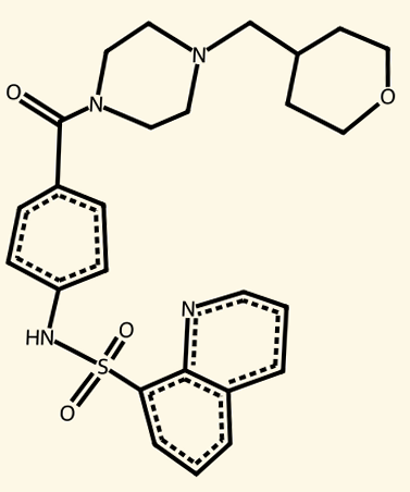 O=C(c1ccc(NS(=O)(=O)c2cccc3cccnc23)cc1)N1CCN(CC2CCOCC2)CC1